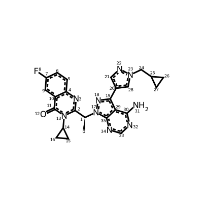 C[C@@H](c1nc2ccc(F)cc2c(=O)n1C1CC1)n1nc(-c2cnn(CC3CC3)c2)c2c(N)ncnc21